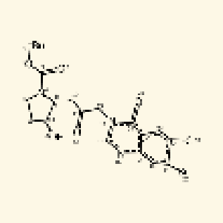 CC(C)(C)OC(=O)N1CC[C@H](O)[C@H]1CC(=O)Cn1cnc2cc(Br)c(Cl)cc2c1=O